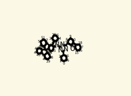 c1ccc(-c2nc(-c3cccc4c3oc3ccccc34)nc(-n3c4ccccc4c4c5c(ccc43)C3(c4ccccc4-c4ccccc43)c3ccccc3-5)n2)cc1